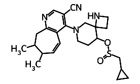 CC1C=Cc2c(ncc(C#N)c2N2CCC(OS(=O)CC3CC3)C3(CCN3)C2)CC1C